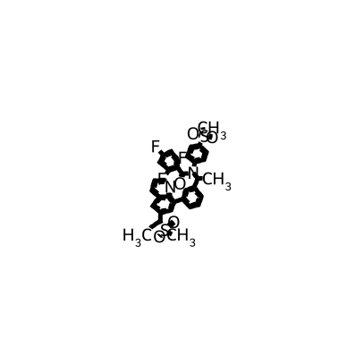 CCC(c1cc(-c2cccc(C(C)N(C(=O)c3c(F)cc(F)cc3F)c3ccc(S(C)(=O)=O)cc3)c2)c2ncccc2c1)S(C)(=O)=O